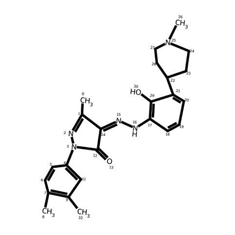 CC1=NN(c2ccc(C)c(C)c2)C(=O)C1=NNc1cccc(C2CCN(C)CC2)c1O